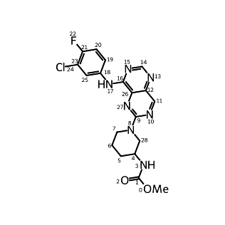 COC(=O)NC1CCCN(c2ncc3ncnc(Nc4ccc(F)c(Cl)c4)c3n2)C1